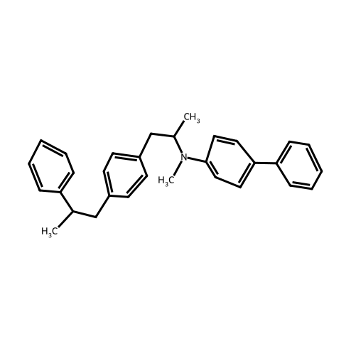 CC(Cc1ccc(CC(C)N(C)c2ccc(-c3ccccc3)cc2)cc1)c1ccccc1